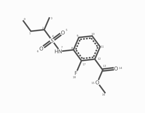 CCC(C)S(=O)(=O)Nc1cccc(C(=O)OC)c1F